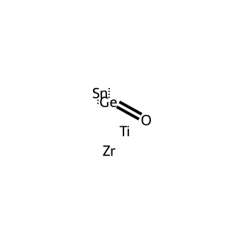 [O]=[Ge].[Sn].[Ti].[Zr]